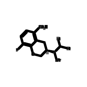 CCCN(C(CC)CC)[C@H]1COc2c(F)ccc(C(=O)O)c2C1